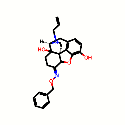 C=CCN1CC[C@]23c4c5ccc(O)c4OC2C(=NOCc2ccccc2)CCC3(O)[C@H]1C5